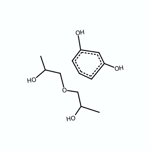 CC(O)COCC(C)O.Oc1cccc(O)c1